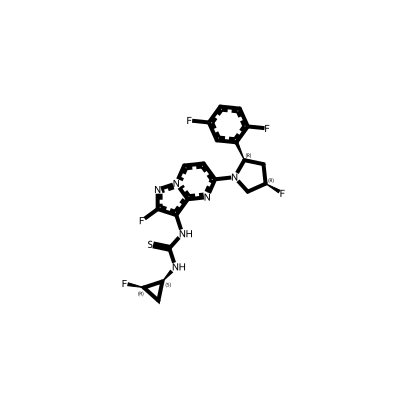 Fc1ccc(F)c([C@H]2C[C@@H](F)CN2c2ccn3nc(F)c(NC(=S)N[C@H]4C[C@H]4F)c3n2)c1